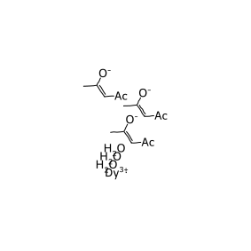 CC(=O)/C=C(/C)[O-].CC(=O)/C=C(/C)[O-].CC(=O)/C=C(/C)[O-].O.O.O.[Dy+3]